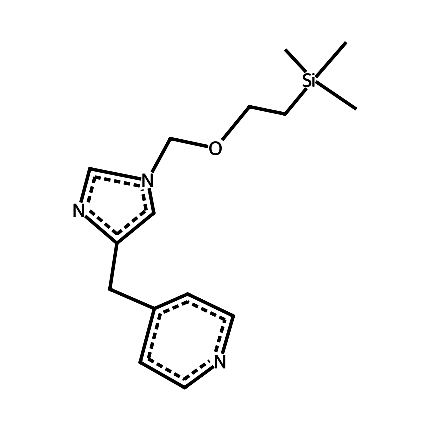 C[Si](C)(C)CCOCn1cnc(Cc2ccncc2)c1